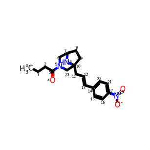 CCCC(=O)N1CC2CCC(CC=Cc3ccc([N+](=O)[O-])cc3)(C1)N2